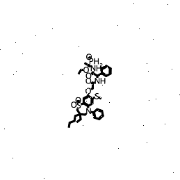 CCCCC1(CC)CN(c2ccccc2)c2cc(SC)c(OCC(=O)NC(C(=O)NC(C)(OCC)[PH2]=O)c3ccccc3)cc2S(=O)(=O)C1